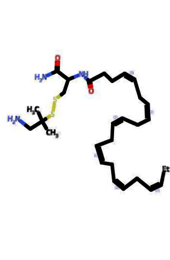 CC/C=C\C/C=C\C/C=C\C/C=C\C/C=C\C/C=C\CCC(=O)NC(CSSC(C)(C)CN)C(N)=O